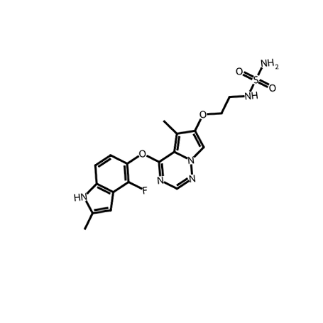 Cc1cc2c(F)c(Oc3ncnn4cc(OCCNS(N)(=O)=O)c(C)c34)ccc2[nH]1